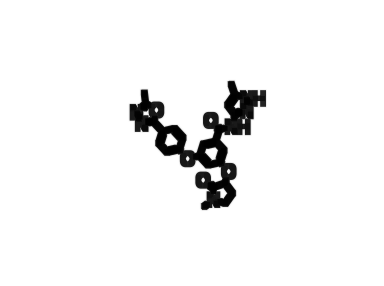 Cc1cc(NC(=O)c2cc(Oc3ccc(-c4nnc(C)o4)cc3)cc(OC3CCN(C)C3=O)c2)n[nH]1